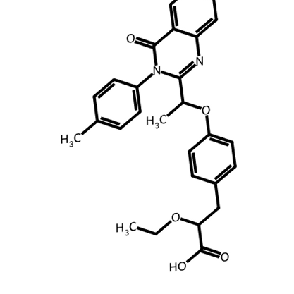 CCOC(Cc1ccc(OC(C)c2nc3ccccc3c(=O)n2-c2ccc(C)cc2)cc1)C(=O)O